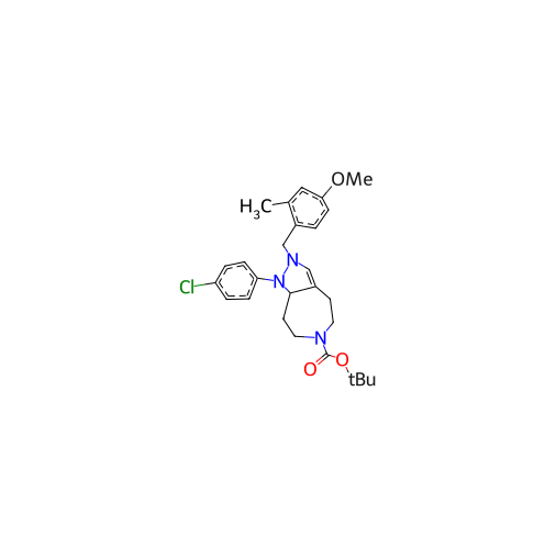 COc1ccc(CN2C=C3CCN(C(=O)OC(C)(C)C)CCC3N2c2ccc(Cl)cc2)c(C)c1